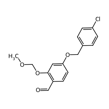 COCOc1cc(OCc2ccc(Cl)cc2)ccc1C=O